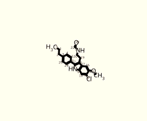 CCCc1ccc(-c2[nH]c3cc(Cl)c(OC)cc3c2CCNC=O)cc1